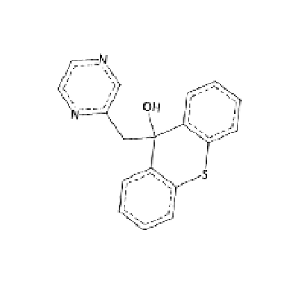 OC1(Cc2cnccn2)c2ccccc2Sc2ccccc21